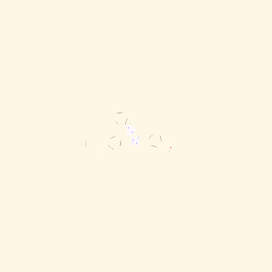 COc1ccc(C2=NC(c3ccc(OC)cc3)N(c3ccccc3)C2C)cc1